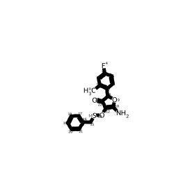 Cc1cc(F)ccc1C1OC(N)=C(OSCc2ccccc2)C1=O